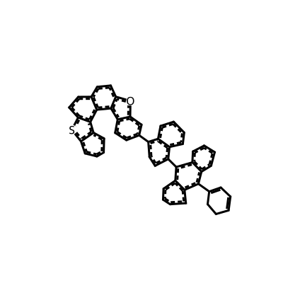 C1=CCCC(c2c3ccccc3c(-c3ccc(-c4ccc5c(c4)oc4ccc6ccc7sc8ccccc8c7c6c45)c4ccccc34)c3ccccc23)=C1